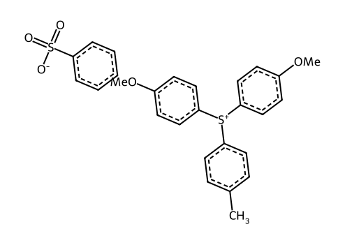 COc1ccc([S+](c2ccc(C)cc2)c2ccc(OC)cc2)cc1.O=S(=O)([O-])c1ccccc1